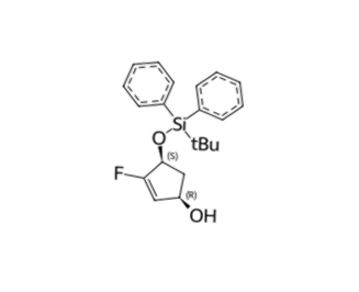 CC(C)(C)[Si](O[C@H]1C[C@@H](O)C=C1F)(c1ccccc1)c1ccccc1